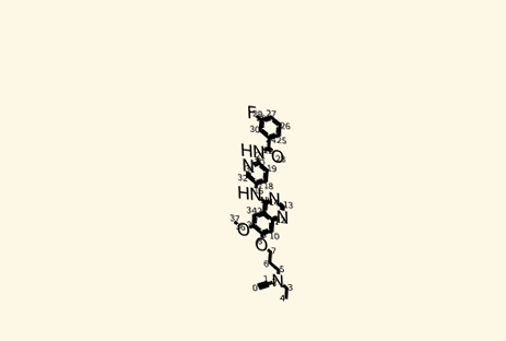 C#CN(CC)CCCOc1cc2ncnc(Nc3ccc(NC(=O)c4cccc(F)c4)nc3)c2cc1OC